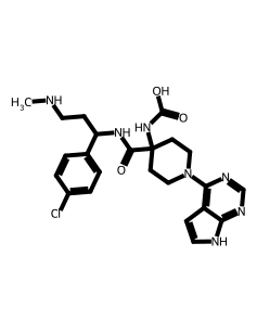 CNCCC(NC(=O)C1(NC(=O)O)CCN(c2ncnc3[nH]ccc23)CC1)c1ccc(Cl)cc1